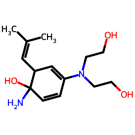 CC(C)=CC1C=C(N(CCO)CCO)C=CC1(N)O